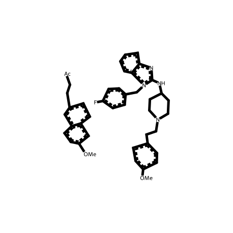 COc1ccc(CCN2CCC(Nc3nc4ccccc4n3Cc3ccc(F)cc3)CC2)cc1.COc1ccc2cc(CCC(C)=O)ccc2c1